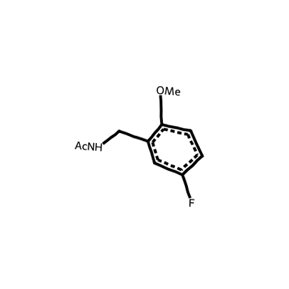 COc1ccc(F)cc1CNC(C)=O